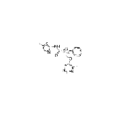 Cc1ncc(OC[C@@]2(c3ccccc3)C[C@H]2C(=O)Nc2ncc(C)s2)c(C)n1